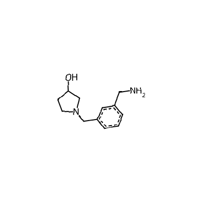 NCc1cccc(CN2CCC(O)C2)c1